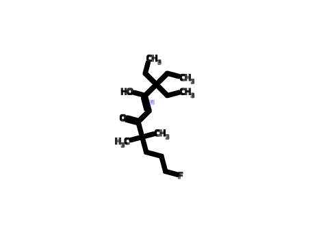 CCC(CC)(CC)/C(O)=C/C(=O)C(C)(C)CCCF